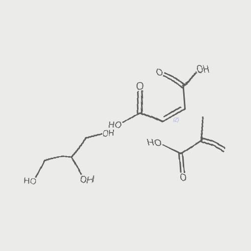 C=C(C)C(=O)O.O=C(O)/C=C\C(=O)O.OCC(O)CO